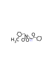 Cc1cccc(CN2C/C(=C\C(=O)c3ccccc3)OC2=O)c1